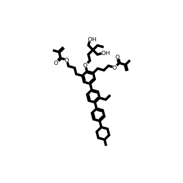 C=C(C)C(=O)OCCCc1cc(-c2ccc(-c3ccc(C4CCC(C)CC4)cc3)c(CC)c2)cc(CCCOC(=O)C(=C)C)c1OCCC(CC)(CO)CO